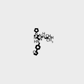 CC(C)(O)CNc1nc(NCc2ccc(-c3ccco3)cc2)c2ncn(C3CCCC3)c2n1